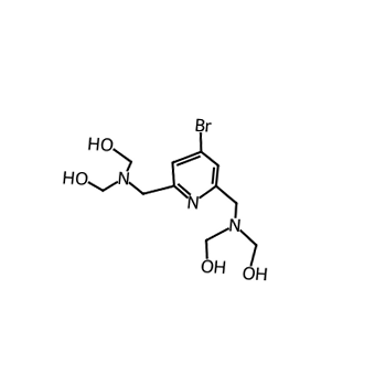 OCN(CO)Cc1cc(Br)cc(CN(CO)CO)n1